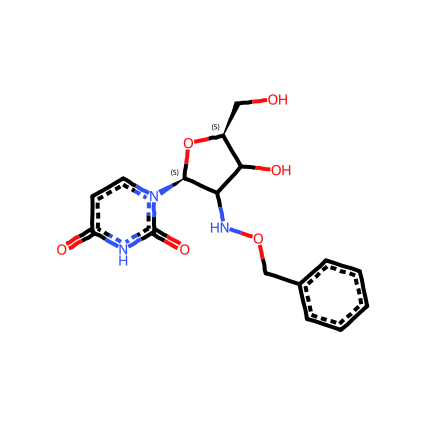 O=c1ccn([C@H]2O[C@@H](CO)C(O)C2NOCc2ccccc2)c(=O)[nH]1